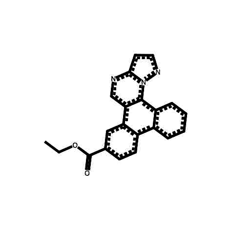 CCOC(=O)c1ccc2c3ccccc3c3c(cnc4ccnn43)c2c1